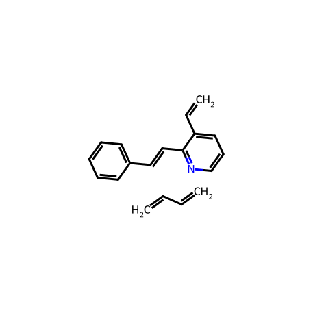 C=CC=C.C=Cc1cccnc1C=Cc1ccccc1